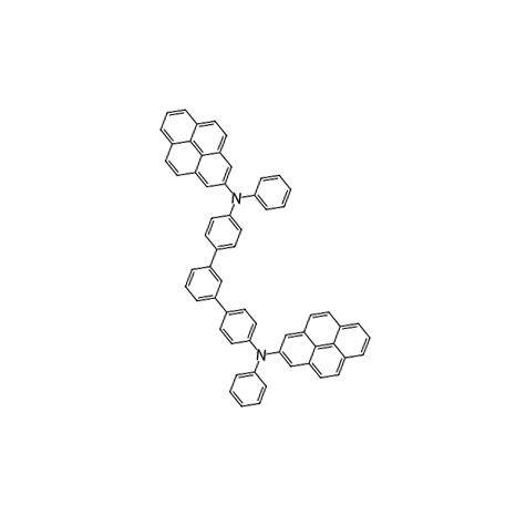 c1ccc(N(c2ccc(-c3cccc(-c4ccc(N(c5ccccc5)c5cc6ccc7cccc8ccc(c5)c6c78)cc4)c3)cc2)c2cc3ccc4cccc5ccc(c2)c3c45)cc1